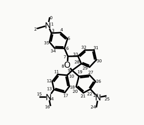 CN(C)c1ccc(C2OC(c3ccc(N(C)C)cc3)(c3ccc(N(C)C)cc3)c3ccccc32)cc1